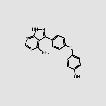 Nc1ncnc2[nH]nc(-c3ccc(Oc4ccc(O)cc4)cc3)c12